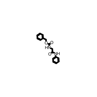 O=C(CNC(=O)OCc1ccccc1)Nc1ccccc1